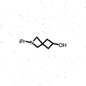 CC(C)N1CC2(CC(O)C2)C1